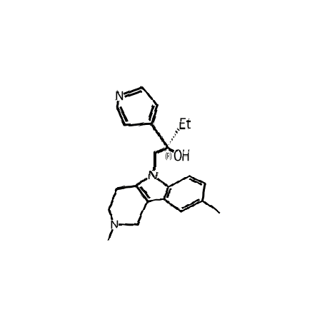 CC[C@](O)(Cn1c2c(c3cc(C)ccc31)CN(C)CC2)c1ccncc1